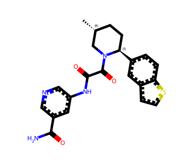 C[C@@H]1CC[C@@H](c2ccc3sccc3c2)N(C(=O)C(=O)Nc2cncc(C(N)=O)c2)C1